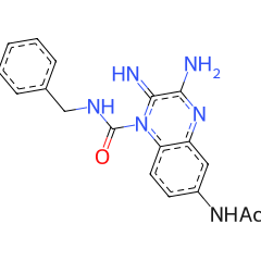 CC(=O)Nc1ccc2c(c1)nc(N)c(=N)n2C(=O)NCc1ccccc1